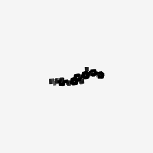 CC1CCC(COc2ccc3c(=O)n(-c4ccc(N5CC[C@@H](N6CCCC6)C5)c(F)c4)ccc3c2)O1